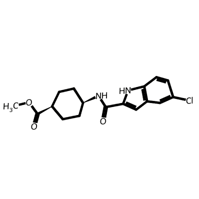 COC(=O)[C@H]1CC[C@@H](NC(=O)c2cc3cc(Cl)ccc3[nH]2)CC1